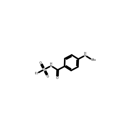 CCS(=O)(=O)NC(=O)c1ccc(NC(C)(C)C)cc1